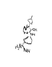 Cc1ccc(-c2ncnc(Nc3ccc(C(=N)N)cc3)c2O)cc1